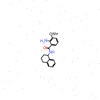 COc1cccc(C(=O)NC2CCCc3ccccc32)c1N